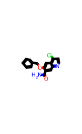 NC(=O)c1cc2nccc(Cl)c2cc1OCc1ccccc1